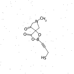 CN1CC(=O)C2(C1)OB(C#CCS)OC2=O